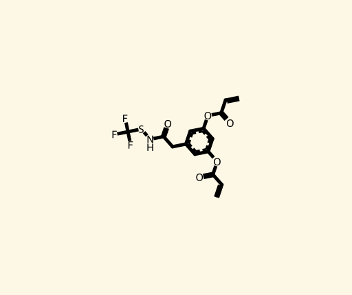 C=CC(=O)Oc1cc(CC(=O)NSC(F)(F)F)cc(OC(=O)C=C)c1